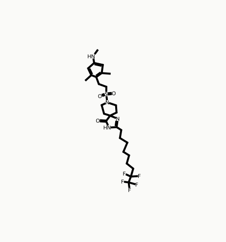 CNc1cc(C)c(CCS(=O)(=O)N2CCC3(CC2)N=C(CCCCCCCC(F)(F)C(F)(F)F)NC3=O)c(C)c1